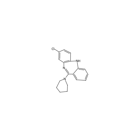 Clc1ccc2c(c1)N=C(N1CCCCC1)c1ccccc1N2